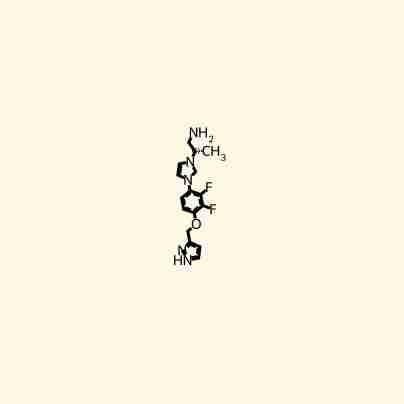 C[C@@H](CN)N1C=CN(c2ccc(OCc3cc[nH]n3)c(F)c2F)C1